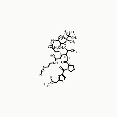 CC(N[C@@H]1OC1CC[C@@H](CC(O)NCCN=[N+]=[N-])[C@H](OC(=O)[C@H]1CCCN1C(=O)c1coc(C[C@@H](C)F)n1)C(C)C)C(C)O[Si](C)(C)C(C)(C)C